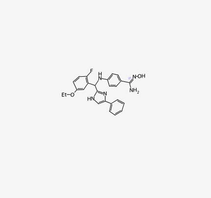 CCOc1ccc(F)c(C(Nc2ccc(/C(N)=N/O)cc2)c2nc(-c3ccccc3)c[nH]2)c1